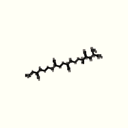 C=CC(=O)OCCOC(=O)CCC(=O)OCCNC(=O)OC(C)C